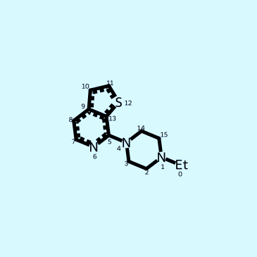 CCN1CCN(c2nccc3ccsc23)CC1